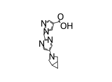 O=C(O)c1cnn(Cc2ncc(N3CC4CC4C3)cn2)c1